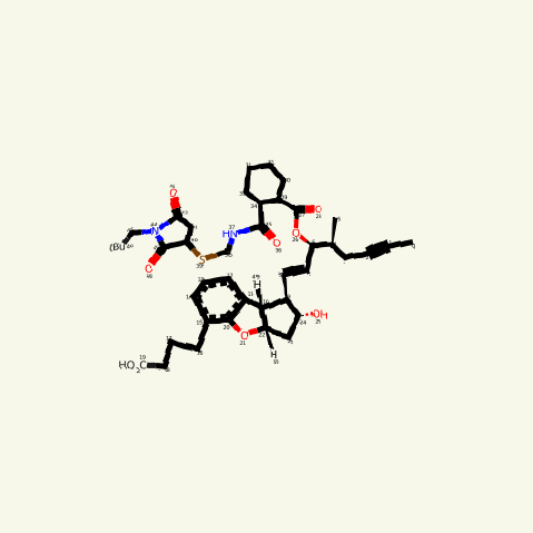 CC#CC[C@H](C)[C@@H](/C=C/[C@@H]1[C@H]2c3cccc(CCCC(=O)O)c3O[C@H]2C[C@H]1O)OC(=O)C1CCCCC1C(=O)NCSC1CC(=O)N(CC(C)(C)C)C1=O